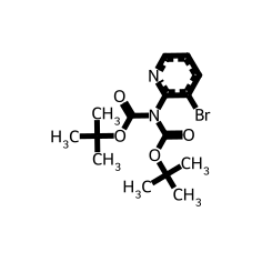 CC(C)(C)OC(=O)N(C(=O)OC(C)(C)C)c1ncccc1Br